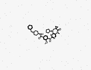 COc1cc(C(=O)NC2CCN(Cc3ccccc3)CC2)ccc1Nc1ncc2c(n1)N(C1CCCC1)CC1(CC1)C(=O)N2C